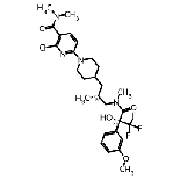 COc1cccc([C@@](O)(C(=O)N(C)C[C@H](C)CC2CCN(c3ccc(C(=O)N(C)C)c(Cl)n3)CC2)C(F)(F)F)c1